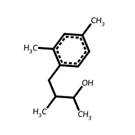 Cc1ccc(CC(C)C(C)O)c(C)c1